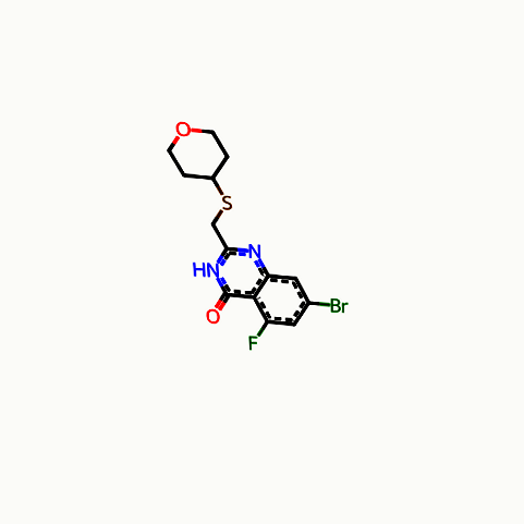 O=c1[nH]c(CSC2CCOCC2)nc2cc(Br)cc(F)c12